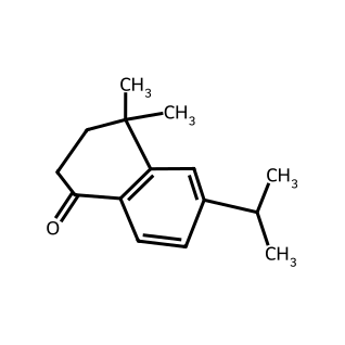 CC(C)c1ccc2c(c1)C(C)(C)CCC2=O